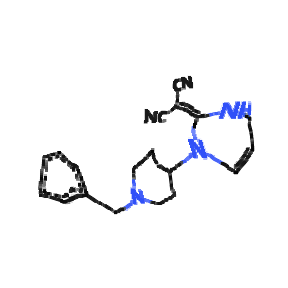 N#CC(C#N)=C1NCC=CN1C1CCN(Cc2ccccc2)CC1